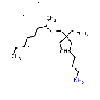 CCCCCCC(C)CCC(CC)(CC)CCCCCN